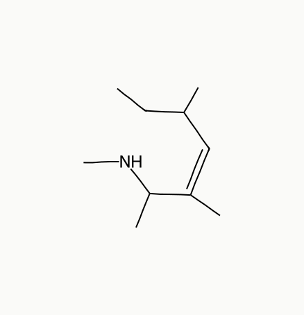 CCC(C)/C=C(/C)C(C)NC